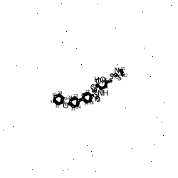 O=C(O)C(CC(O)CSc1nccs1)NS(=O)(=O)c1ccc(-c2ccc(Oc3ccccc3)cc2)cc1